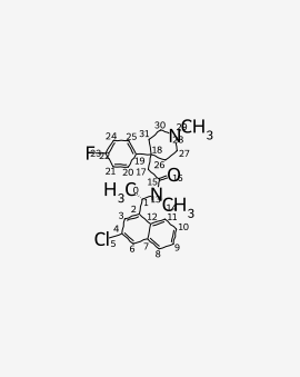 C[C@@H](c1cc(Cl)cc2ccccc12)N(C)C(=O)CC1(c2ccc(F)cc2)CCN(C)CC1